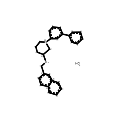 Cl.c1ccc(-c2cccc(N3CCCC(OCc4ccc5ccccc5c4)C3)c2)cc1